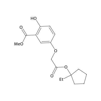 CCC1(OC(=O)COc2ccc(O)c(C(=O)OC)c2)CCCC1